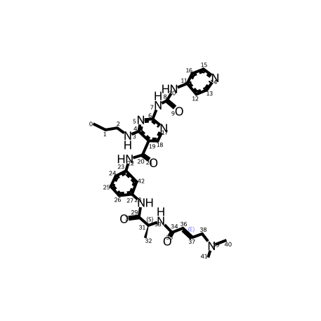 CCCNc1nc(NC(=O)Nc2ccncc2)ncc1C(=O)Nc1cccc(NC(=O)[C@H](C)NC(=O)/C=C/CN(C)C)c1